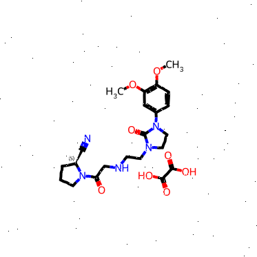 COc1ccc(N2CCN(CCNCC(=O)N3CCC[C@H]3C#N)C2=O)cc1OC.O=C(O)C(=O)O